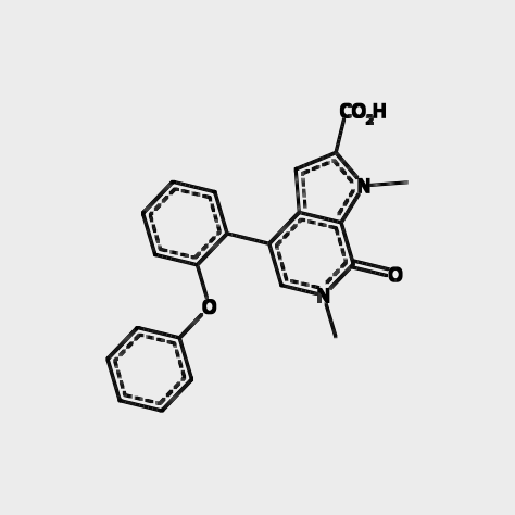 Cn1cc(-c2ccccc2Oc2ccccc2)c2cc(C(=O)O)n(C)c2c1=O